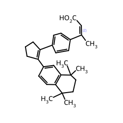 C/C(=C/C(=O)O)c1ccc(C2=C(c3ccc4c(c3)C(C)(C)CCC4(C)C)CCC2)cc1